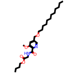 CCCCCCCCCCCCOCc1cnc(C(=O)NCC(=O)OCCCC)c(OC)c1